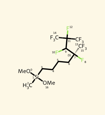 CO[Si](C)(CCCC[C@](F)(C(F)C(F)(C(F)(F)F)C(F)(F)F)C(F)(F)F)OC